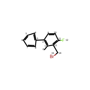 Cc1c(-c2ccccc2)ccc(F)c1CBr